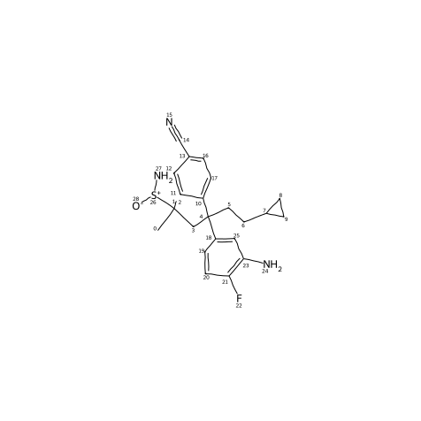 CC(C)(CC(CCC1CC1)(c1ccc(C#N)cc1)c1ccc(F)c(N)c1)[S+](N)[O-]